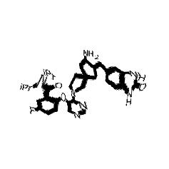 CC(C)N(C(=O)c1cc(F)ccc1Oc1cncnc1N1CCC2(CC(N)C(Cc3ccc4[nH]c(=O)[nH]c4c3)C2)C1)C(C)C